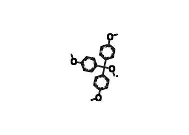 [CH2]OC(c1ccc(OC)cc1)(c1ccc(OC)cc1)c1ccc(OC)cc1